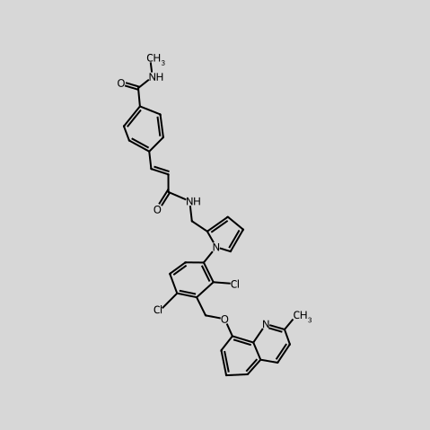 CNC(=O)c1ccc(/C=C/C(=O)NCc2cccn2-c2ccc(Cl)c(COc3cccc4ccc(C)nc34)c2Cl)cc1